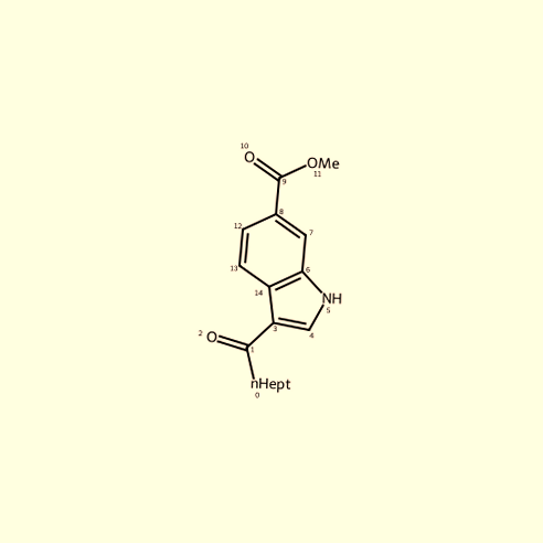 CCCCCCCC(=O)c1c[nH]c2cc(C(=O)OC)ccc12